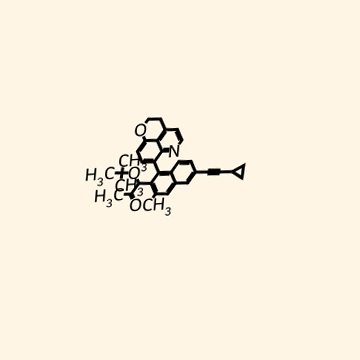 CC(=O)C(OC(C)(C)C)c1c(C)cc2cc(C#CC3CC3)ccc2c1-c1ccc2c3c(ccnc13)CCO2